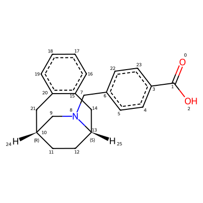 O=C(O)c1ccc(CN2C[C@@H]3CC[C@H]2Cc2ccccc2C3)cc1